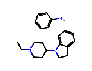 CCN1CCC(N2CCc3ccccc32)CC1.Nc1ccccc1